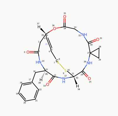 O=C1C[C@H]2/C=C/CCSSC[C@@H](NC(=O)[C@@H](Cc3ccccc3)N1)C(=O)NC1(CC1)C(=O)NCC(=O)O2